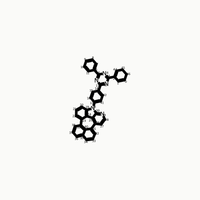 C1=CC(c2nc(-c3ccccc3)nc(-c3ccc(-n4c5cccc6c5c5c(ccnc54)-c4cccc5cccc-6c45)cc3)n2)=CCC1